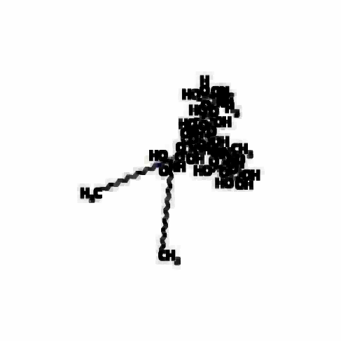 CCCCCCCCCCCCC/C=C/[C@@H](O)[C@H](CO[C@@H]1OC(CO)[C@@H](O[C@@H]2OC(CO[C@@H]3OC(CO)[C@@H](O[C@@H]4OC(CO)[C@H](O)[C@H](O)C4O)[C@H](O)C3NC(C)=O)[C@H](O)[C@H](O[C@H]3OC(CO)[C@H](O)[C@H](O[C@@H]4OC(CO)[C@H](O)[C@H](O)C4NC(C)=O)C3O)C2O)[C@H](O)C1O)NC(=O)CCCCCCCCCCCCCCCCC